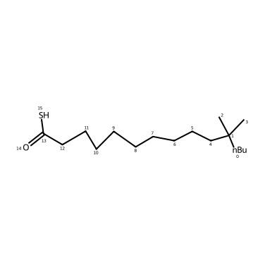 CCCCC(C)(C)CCCCCCCCCC(=O)S